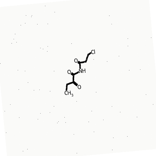 CCC(=O)C(=O)NC(=O)CCCl